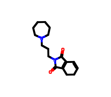 O=C1C2=C(CCC=C2)C(=O)N1CCCN1CCCCCC1